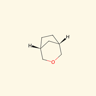 C1C[C@H]2COC[C@@H]1C2